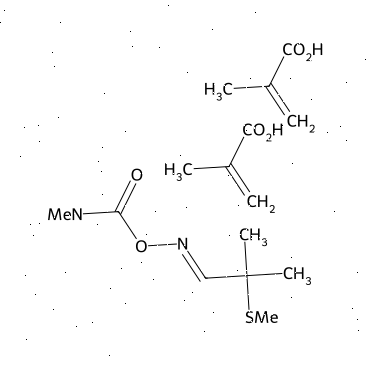 C=C(C)C(=O)O.C=C(C)C(=O)O.CNC(=O)O/N=C/C(C)(C)SC